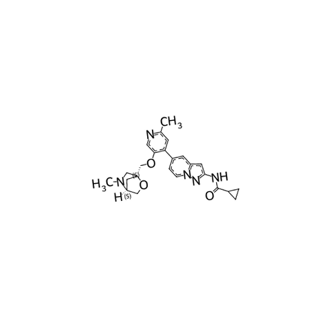 Cc1cc(-c2ccn3nc(NC(=O)C4CC4)cc3c2)c(OC[C@@]23C[C@@H](CO2)N(C)C3)cn1